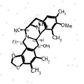 CC[C@H]1c2c3c(c(C)c(C)c2[C@@H](O)[C@@H]2C4c5c(cc(C)c(OC)c5C)CC([C@H](C#N)N12)N4C)OCO3